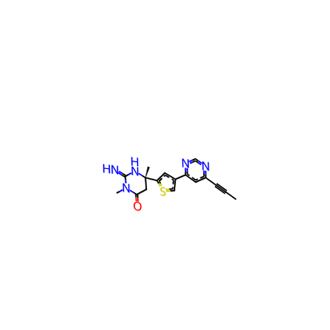 CC#Cc1cc(-c2csc([C@]3(C)CC(=O)N(C)C(=N)N3)c2)ncn1